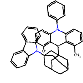 Cc1cccc2c1B(C13CC4CC(C1)CC(n1c5ccccc5c5ccccc51)(C4)C3)c1c(C)cccc1N2c1ccccc1